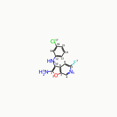 Nc1oc2cnc(F)cc2c1Nc1cccc(Cl)c1